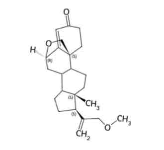 C=C(COC)[C@H]1CCC2C3C[C@H]4OC[C@@]5(CCC(=O)C=C45)C3CC[C@@]21C